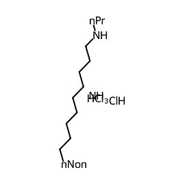 CCCCCCCCCCCCCCCCCCNCCC.Cl.Cl.N